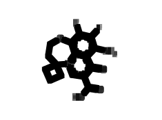 Nc1c(F)c(F)c2c3c1c(=O)c(C(=O)O)cn3C1(CCC1)CCO2